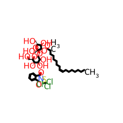 CCCCCCCC/C=C\CCCCCCC(C)C(=O)O[C@H]1[C@H](O)[C@@H](CO)O[C@@]1(CO)O[C@H]1O[C@H](CO)[C@@H](O)[C@H](O)[C@H]1O.O=C1c2ccccc2C(=O)N1SC(Cl)(Cl)Cl